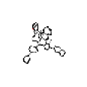 CC1(C)c2ccccc2-c2ccc(N(c3ccc(-c4ccccc4)cc3)c3ccc(-c4ccc5ccccc5c4)c4oc5c6ccccc6c(-c6ccccc6)cc5c34)cc21